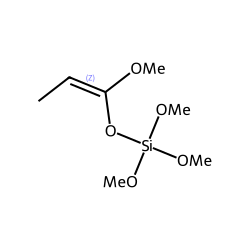 C/C=C(/OC)O[Si](OC)(OC)OC